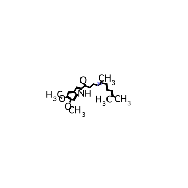 COc1cc2cc(C(=O)CC/C=C(\C)CCC=C(C)C)[nH]c2cc1OC